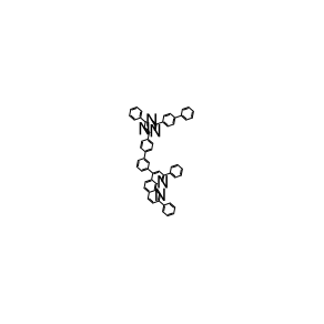 c1ccc(-c2ccc(-c3nc(-c4ccccc4)nc(-c4ccc(-c5cccc(-c6cc(-c7ccccc7)nc7c6ccc6ccc(-c8ccccc8)nc67)c5)cc4)n3)cc2)cc1